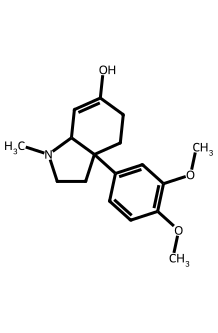 COc1ccc(C23CCC(O)=CC2N(C)CC3)cc1OC